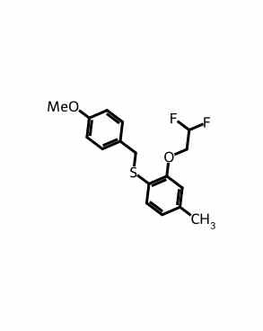 COc1ccc(CSc2ccc(C)cc2OCC(F)F)cc1